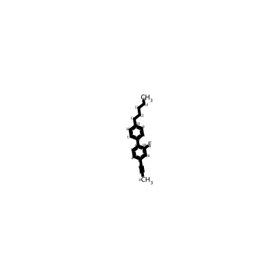 CC#Cc1ccc(-c2ccc(CCCCC)cc2)c(F)c1